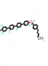 C/C=C/CCc1ccc(C(F)(F)Oc2ccc(-c3ccc(-c4ccc(-c5cc(F)c(C(F)(F)F)c(F)c5)c(F)c4)c(F)c3)cc2)cc1